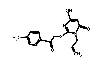 C=CCn1c(SCC(=O)c2ccc(C)cc2)nc(O)cc1=O